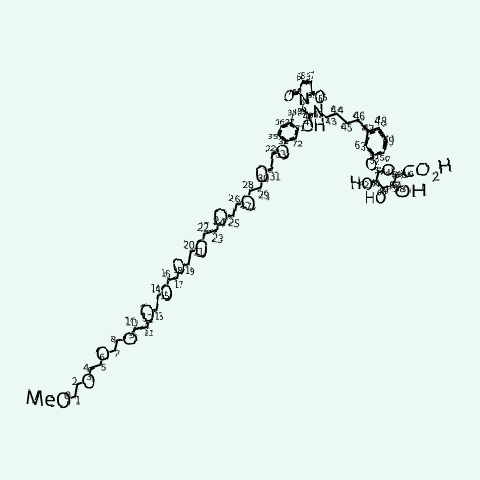 COCCOCCOCCOCCOCCOCCOCCOCCOCCOCCOCCOc1ccc(C[C@@H](C(=O)NCCCCc2cccc(O[C@@H]3O[C@H](C(=O)O)[C@@H](O)[C@H](O)[C@H]3O)c2)N2C(=O)C=CC2=O)cc1